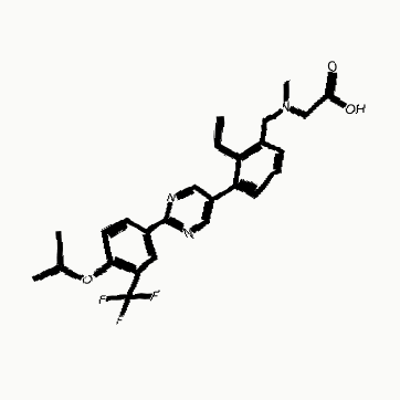 CCc1c(CN(C)CC(=O)O)cccc1-c1cnc(-c2ccc(OC(C)C)c(C(F)(F)F)c2)nc1